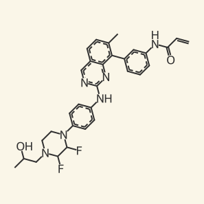 C=CC(=O)Nc1cccc(-c2c(C)ccc3cnc(Nc4ccc(N5CCN(CC(C)O)C(F)C5F)cc4)nc23)c1